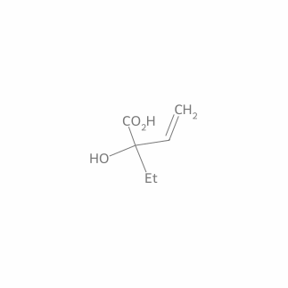 C=CC(O)(CC)C(=O)O